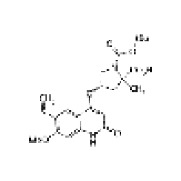 C=Cc1cc2c(O[C@H]3CN(C(=O)OC(C)(C)C)[C@](C)(C(=O)O)C3)cc(=O)[nH]c2cc1OC